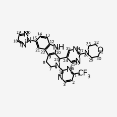 FC(F)(F)c1ccnc(N2CCc3c([nH]c4ccc(-n5nccn5)cc34)C2c2cnc(N3CCOCC3)nc2)n1